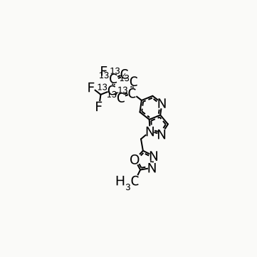 Cc1nnc(Cn2ncc3ncc(-[13c]4[13cH][13cH][13c](F)[13c](C(F)F)[13cH]4)cc32)o1